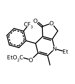 CCOC(=O)OC1=C(C)N(CC)C2=C(C(=O)OC2)C1c1ccccc1C(F)(F)F